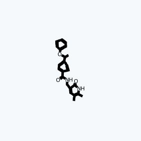 Cc1cc(CNC(=O)c2ccc(C(C)Oc3ccccc3)cc2)c(=O)[nH]c1C